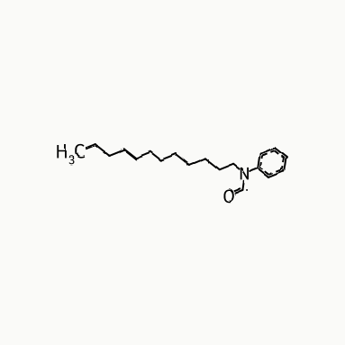 CCCCCCCCCCCCN([C]=O)c1ccccc1